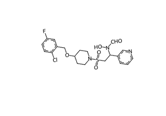 O=CN(O)C(CS(=O)(=O)N1CCC(OCc2cc(F)ccc2Cl)CC1)c1cccnc1